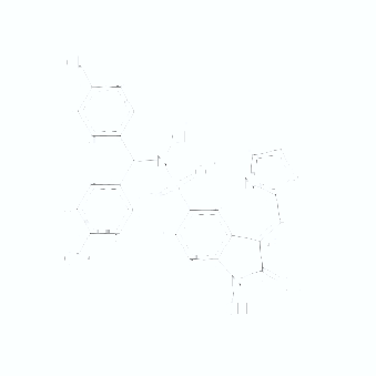 CN1C(=O)/C(=C/c2nccs2)c2cc(S(=O)(=O)N(C)C(c3ccc(Cl)cc3)c3ccc(Cl)cc3)ccc21